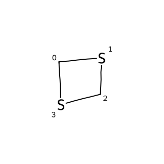 C1SCS1